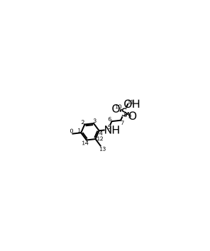 Cc1ccc(NCCS(=O)(=O)O)c(C)c1